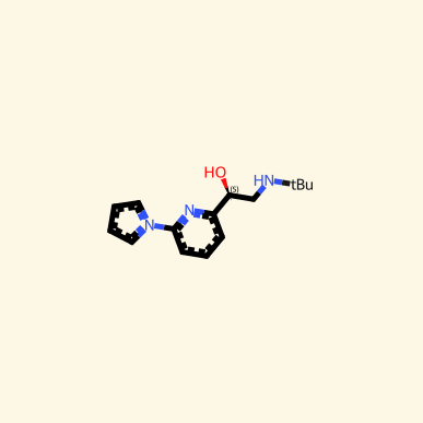 CC(C)(C)NC[C@H](O)c1cccc(-n2cccc2)n1